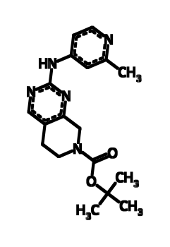 Cc1cc(Nc2ncc3c(n2)CN(C(=O)OC(C)(C)C)CC3)ccn1